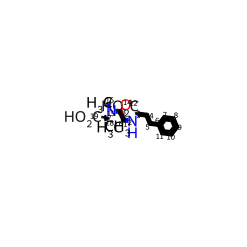 C[C@H](NC(CCc1ccccc1)C(=O)O)C(=O)N(C)[C@@H](C)C(=O)O